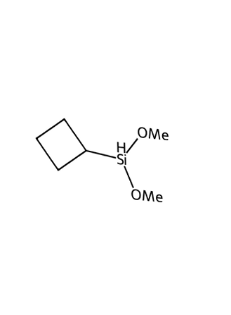 CO[SiH](OC)C1CCC1